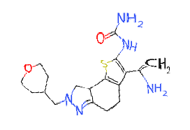 C=C(N)c1c(NC(N)=O)sc2c1CCC1=NN(CC3CCOCC3)CC12